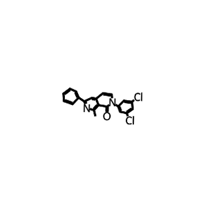 Cc1nc(-c2ccccc2)cc2ccn(-c3cc(Cl)cc(Cl)c3)c(=O)c12